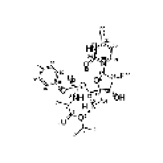 CC(C)OC(=O)C(C)NP(=O)(OC[C@@]1(CN)O[C@@H](n2ccc(=O)[nH]c2=O)[C@H](F)[C@@H]1O)Oc1ccccc1